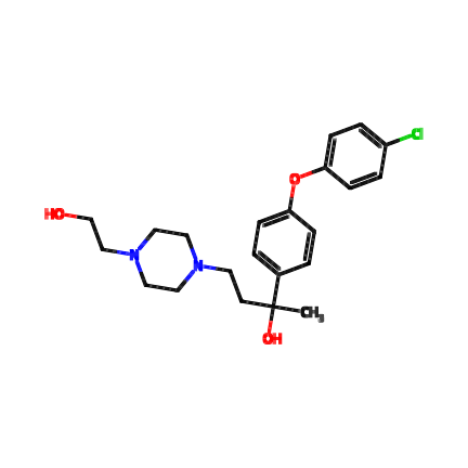 CC(O)(CCN1CCN(CCO)CC1)c1ccc(Oc2ccc(Cl)cc2)cc1